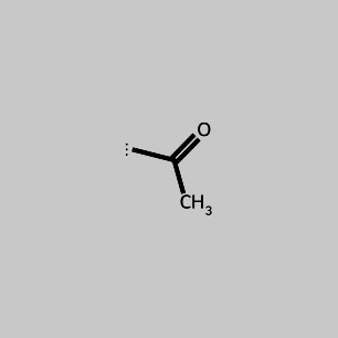 [C]C(C)=O